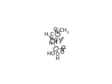 Cc1cc(C(F)(F)F)c(-c2ncnc(-c3cc(O)c(O)c([N+](=O)[O-])c3)n2)c(C)[n+]1[O-]